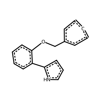 c1ccc(COc2ccccc2-c2ccc[nH]2)cc1